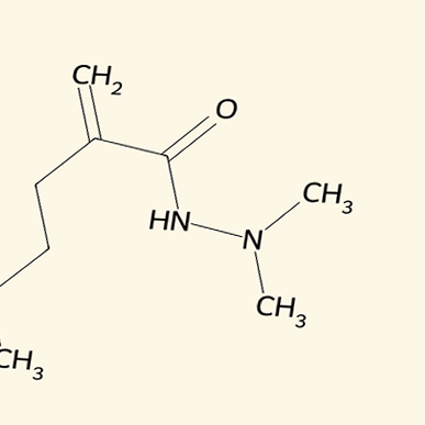 C=C(CCCC)C(=O)NN(C)C